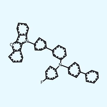 Fc1ccc(N(c2ccc(-c3ccccc3)cc2)c2cccc(-c3ccc(-n4c5ccccc5c5oc6ccccc6c54)cc3)c2)cc1